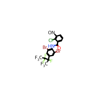 O=Nc1cccc(C(=O)Nc2c(Br)cc(C(F)(C(F)(F)F)C(F)(F)C(F)(F)F)cc2Br)c1Cl